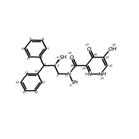 CC(C)N(C[C@H](S)C(c1ccccc1)c1ccccc1)C(=O)c1n[nH]cc(O)c1=O